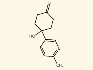 Cc1ccc(C2(O)CCC(=O)CC2)cn1